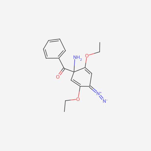 CCOC1=CC(N)(C(=O)c2ccccc2)C(OCC)=CC1=[N+]=[N-]